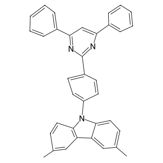 Cc1ccc2c(c1)c1cc(C)ccc1n2-c1ccc(-c2nc(-c3ccccc3)cc(-c3ccccc3)n2)cc1